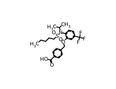 CCCCCS(=O)(=O)N(c1ccc(C(F)(F)F)cc1OCc1ccc(C(=O)O)cc1)C(C)C